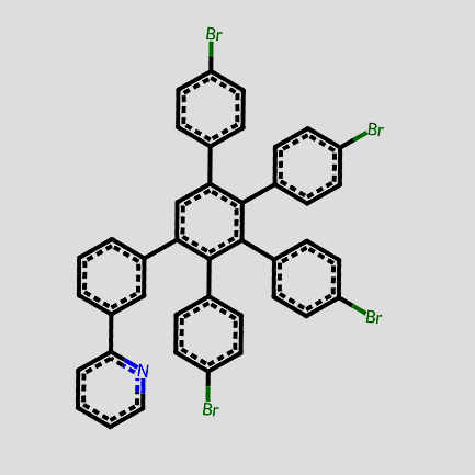 Brc1ccc(-c2cc(-c3cccc(-c4ccccn4)c3)c(-c3ccc(Br)cc3)c(-c3ccc(Br)cc3)c2-c2ccc(Br)cc2)cc1